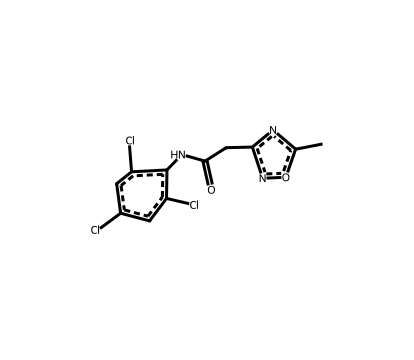 Cc1nc(CC(=O)Nc2c(Cl)cc(Cl)cc2Cl)no1